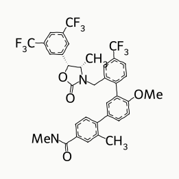 CNC(=O)c1ccc(-c2ccc(OC)c(-c3ccc(C(F)(F)F)cc3CN3C(=O)O[C@H](c4cc(C(F)(F)F)cc(C(F)(F)F)c4)[C@@H]3C)c2)c(C)c1